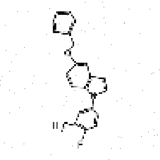 Cc1cc(-n2ccc3cc(OCc4ccccc4)ccc32)ccc1F